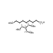 CCCCCCCCCCCCCCCCCC(=O)O.CCCC[O][Zr]([O]CCCC)[O]CCCC